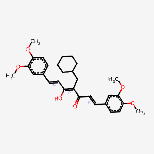 COc1ccc(/C=C/C(=O)/C(CC2CCCCC2)=C(O)/C=C/c2ccc(OC)c(OC)c2)cc1OC